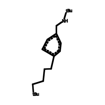 CC(C)(C)CCCCc1ccc(CNC(C)(C)C)cc1